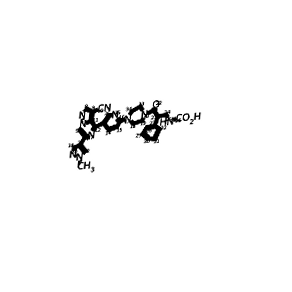 Cn1cc(-c2cn3ncc(C#N)c3c(-c3ccc(N4CCN(C(=O)C(CNC(=O)O)c5ccccc5)CC4)nc3)n2)cn1